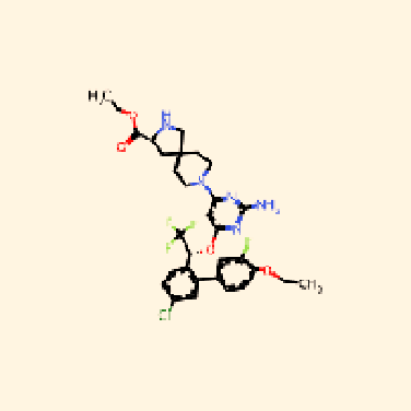 CCOC(=O)[C@@H]1CC2(CCN(c3cc(O[C@H](c4ccc(Cl)cc4-c4ccc(OCC)c(F)c4)C(F)(F)F)nc(N)n3)CC2)CN1